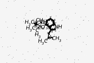 CN(C)Cc1c[nH]c2cccc(O[Si](C)(C)C(C)(C)C)c12